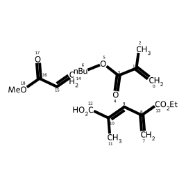 C=C(C)C(=O)OCCCC.C=C(C=C(C)C(=O)O)C(=O)OCC.C=CC(=O)OC